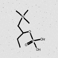 CCC(C[N+](C)(C)C)OP(=O)(O)O